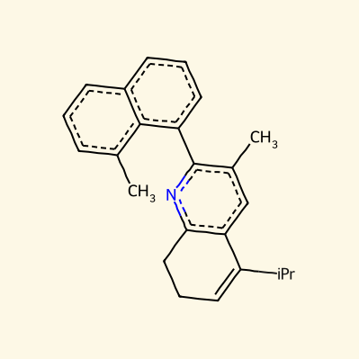 Cc1cc2c(nc1-c1cccc3cccc(C)c13)CCC=C2C(C)C